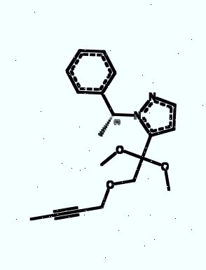 CC#CCOCC(OC)(OC)c1ccnn1[C@H](C)c1ccccc1